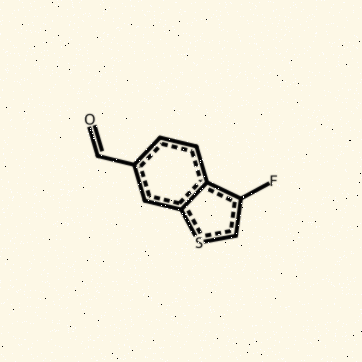 O=Cc1ccc2c(F)csc2c1